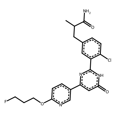 CC(Cc1ccc(Cl)c(-c2nc(-c3ccc(OCCCF)nc3)cc(=O)[nH]2)c1)C(N)=O